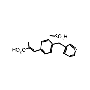 CC(=Cc1ccc(Cc2cccnc2)cc1)C(=O)O.CS(=O)(=O)O